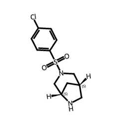 O=S(=O)(c1ccc(Cl)cc1)N1C[C@@H]2CN[C@@H](C2)C1